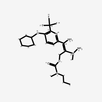 CCCN(C)C(=O)OC/C(=C(/N)c1ccc(OC2CCCCC2)c(C(F)(F)F)n1)N(C)N